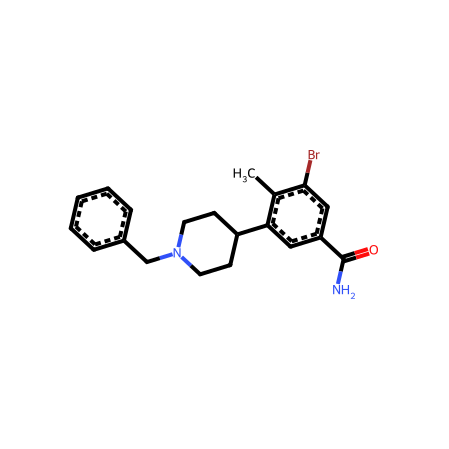 Cc1c(Br)cc(C(N)=O)cc1C1CCN(Cc2ccccc2)CC1